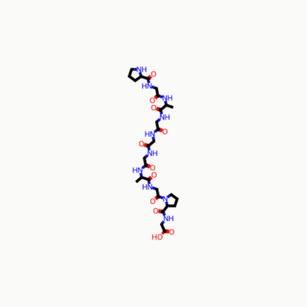 CC(NC(=O)CNC(=O)CNC(=O)CNC(=O)C(C)NC(=O)CNC(=O)C1CCCN1)C(=O)NCC(=O)N1CCCC1C(=O)NCC(=O)O